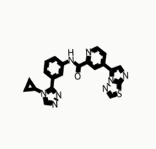 O=C(Nc1cccc(-c2nncn2C2CC2)c1)c1cc(-c2cnc3scnn23)ccn1